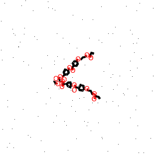 C=CC(=O)OCCCOc1ccc(C(=O)Oc2ccc(C(=O)OC3OCCOC3OC(=O)c3ccc(OC(=O)c4ccc(OCCCOC(=O)C=C)cc4)cc3)cc2)cc1